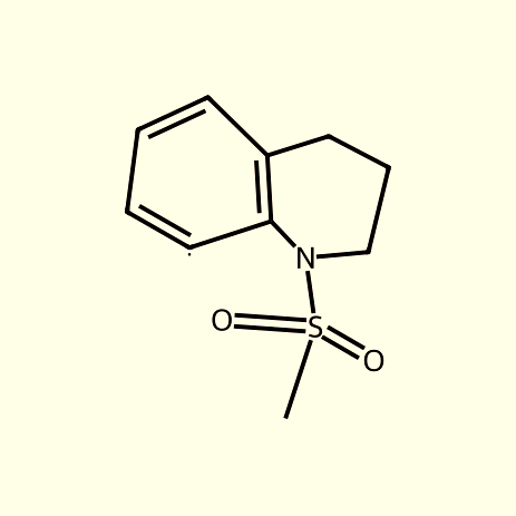 CS(=O)(=O)N1CCCc2ccc[c]c21